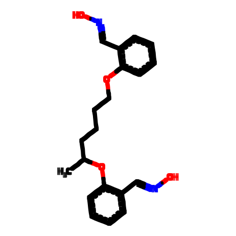 CC(CCCCOc1ccccc1C=NO)Oc1ccccc1C=NO